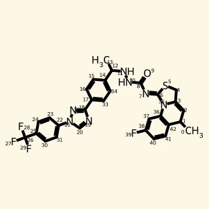 CC1C=C2CS/C(=N\C(=O)NNC(C)c3ccc(-c4ncn(-c5ccc(C(F)(F)F)cc5)n4)cc3)N2c2cc(F)ccc21